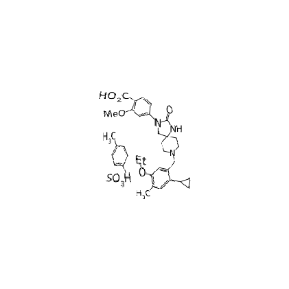 CCOc1cc(CN2CCC3(CC2)CN(c2ccc(C(=O)O)c(OC)c2)C(=O)N3)c(C2CC2)cc1C.Cc1ccc(S(=O)(=O)O)cc1